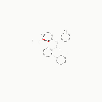 CC(c1c(C(=O)N(C)C)cccc1-c1ccccc1)N(c1cccnc1)c1cccnc1